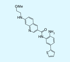 COCCNc1ccc2cc(C(=O)Nc3cc(-c4cccs4)ccc3N)cnc2c1